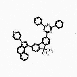 CC1(C)c2ccc(-c3nc(-c4ccccc4)nc(-c4ccccc4)n3)cc2-c2cc(-c3cn(-c4ccncc4)c4ccc5ccccc5c34)ccc21